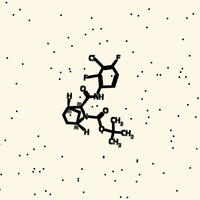 CC(C)(C)OC(=O)N1[C@@H]2CC[C@@H](C2)[C@H]1C(=O)Nc1ccc(F)c(Cl)c1F